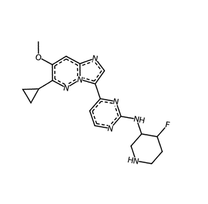 COc1cc2ncc(-c3ccnc(NC4CNCCC4F)n3)n2nc1C1CC1